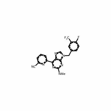 CNc1nc(-c2cccc(C#N)n2)c2ncn(Cc3ccc(F)c(C(F)(F)F)c3)c2n1